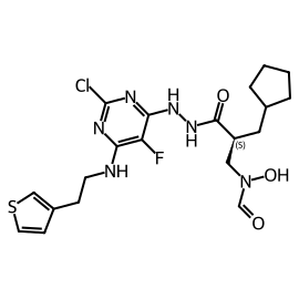 O=CN(O)C[C@H](CC1CCCC1)C(=O)NNc1nc(Cl)nc(NCCc2ccsc2)c1F